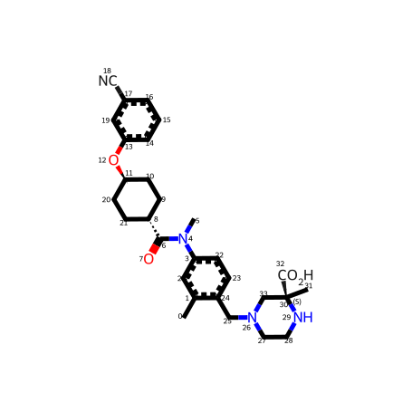 Cc1cc(N(C)C(=O)[C@H]2CC[C@H](Oc3cccc(C#N)c3)CC2)ccc1CN1CCN[C@](C)(C(=O)O)C1